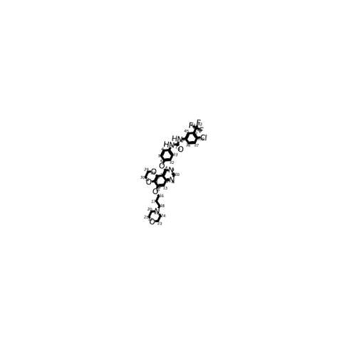 O=C(Nc1ccc(Oc2ncnc3cc(OCCCN4CCOCC4)c4c(c23)OCCO4)cc1)Nc1ccc(Cl)c(C(F)(F)F)c1